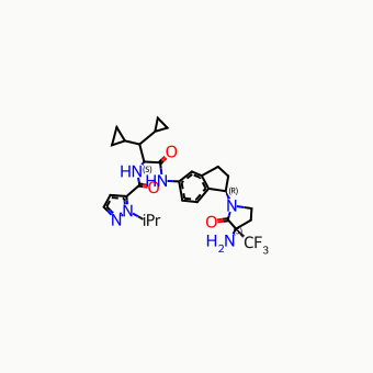 CC(C)n1nccc1C(=O)N[C@H](C(=O)Nc1ccc2c(c1)CC[C@H]2N1CC[C@@](N)(C(F)(F)F)C1=O)C(C1CC1)C1CC1